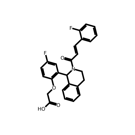 O=C(O)COc1ccc(F)cc1C1c2ccccc2CCN1C(=O)/C=C/c1ccccc1F